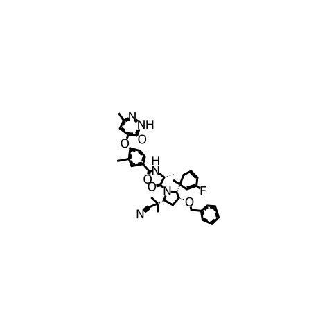 Cc1cc(Oc2ccc(C(=O)N[C@H](C)C(=O)N3[C@H](C4(C)C=C(F)C=CC4)[C@H](OCc4ccccc4)C[C@@H]3C(C)(C)C#N)cc2C)c(=O)[nH]n1